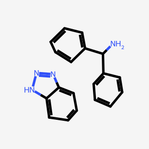 NC(c1ccccc1)c1ccccc1.c1ccc2[nH]nnc2c1